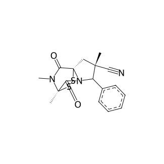 CN1C(=O)[C@@]23C[C@](C)(C#N)C(c4ccccc4)N2C(=O)[C@@]1(C)SS3